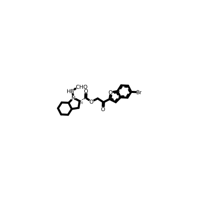 O=CBN1C2CCCCC2C[C@H]1C(=O)OCC(=O)c1cc2cc(Br)ccc2o1